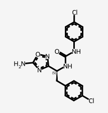 Nc1nc([C@H](Cc2ccc(Cl)cc2)NC(=O)Nc2ccc(Cl)cc2)no1